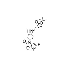 CC(C)(C)OC(=O)NCCN[C@H]1CC[C@H](N2C(=O)COc3ncc(F)cc32)CC1